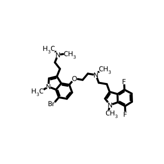 CN(C)CCc1cn(C)c2c(Br)ccc(OCCN(C)CCc3cn(C)c4c(F)ccc(F)c34)c12